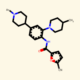 CC(=O)N1CCC(c2ccc(NC(=O)c3ccc(C#N)o3)c(N3CCC(C)CC3)c2)CC1